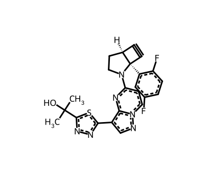 CC(C)(O)c1nnc(-c2cnn3ccc(N4CC[C@H]5C#C[C@]54c4cc(F)ccc4F)nc23)s1